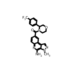 Cn1ncc2c3cc(C(=O)N4CCOCC4c4ccc(C(F)(F)F)cc4)ccc3nc(N)c21